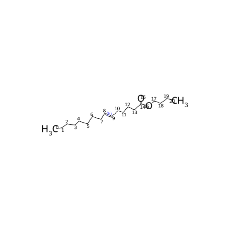 CCCCCCCC/C=C/CCCCC(=O)OCCCC